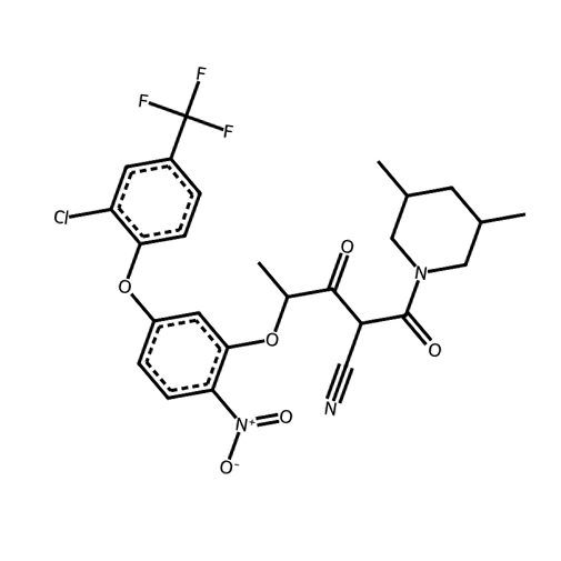 CC1CC(C)CN(C(=O)C(C#N)C(=O)C(C)Oc2cc(Oc3ccc(C(F)(F)F)cc3Cl)ccc2[N+](=O)[O-])C1